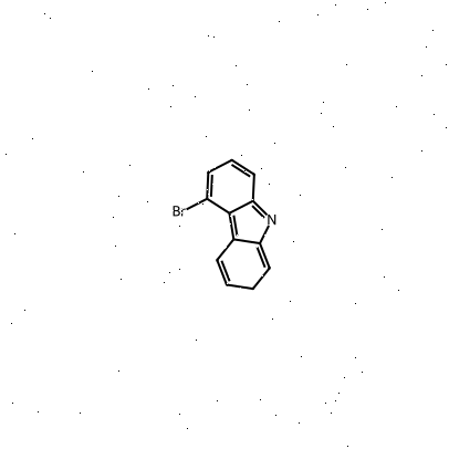 Brc1cccc2c1=C1C=CCC=C1N=2